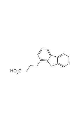 O=C(O)CCCc1cccc2c1Cc1ccccc1-2